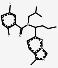 CCCC(c1ccc2c(C)ncn2n1)N(CC(C)C)C(=O)c1cc(F)ccc1F